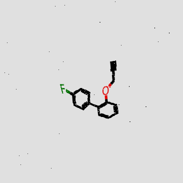 C#CCOc1[c]cccc1-c1ccc(F)cc1